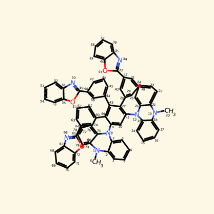 CN1c2ccccc2N(c2cc(N3c4ccccc4N(C)c4ccccc43)c(-c3cccc(-c4nc5ccccc5o4)c3)c(-c3cccc(-c4nc5ccccc5o4)c3)c2-c2cccc(-c3nc4ccccc4o3)c2)c2ccccc21